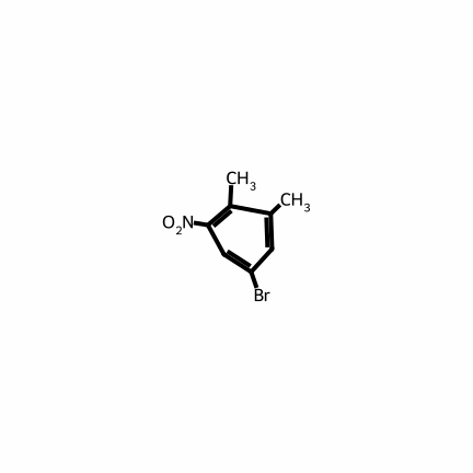 Cc1cc(Br)cc([N+](=O)[O-])c1C